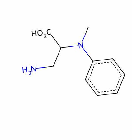 CN(c1ccccc1)C(CN)C(=O)O